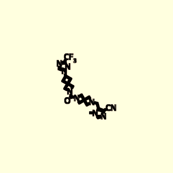 Cn1cnc(C#N)c1CN1CC2(C1)CN(C(=O)N1CC3(CC(n4cnc(C(F)(F)F)n4)C3)C1)C2